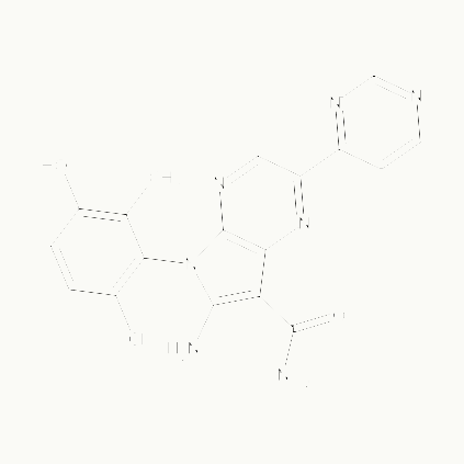 Cc1ccc(O)c(C)c1-n1c(N)c(C(N)=O)c2nc(-c3ccncn3)cnc21